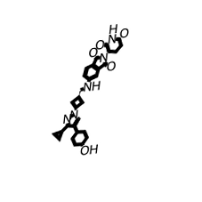 O=C1CCC(N2C(=O)c3ccc(NC[C@H]4C[C@H](n5cc(C6CCC(O)CC6)c(C6CC6)n5)C4)cc3C2=O)C(=O)N1